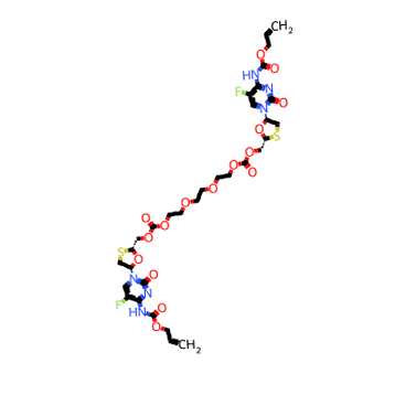 C=CCOC(=O)Nc1nc(=O)n([C@@H]2CS[C@H](COC(=O)OCCOCCOCCOC(=O)OC[C@@H]3O[C@H](n4cc(F)c(NC(=O)OCC=C)nc4=O)CS3)O2)cc1F